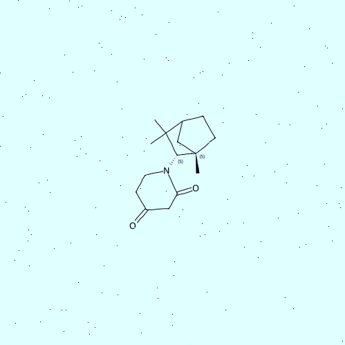 CC1(C)C2CC[C@@](C)(C2)[C@@H]1N1CCC(=O)CC1=O